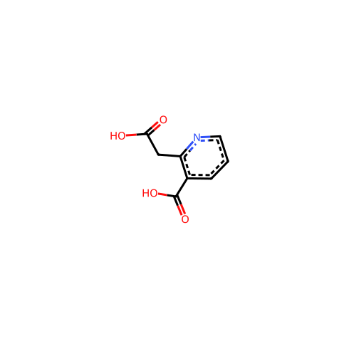 O=C(O)Cc1ncccc1C(=O)O